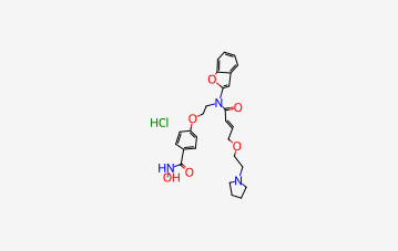 Cl.O=C(NO)c1ccc(OCCN(C(=O)C=CCOCCN2CCCC2)c2cc3ccccc3o2)cc1